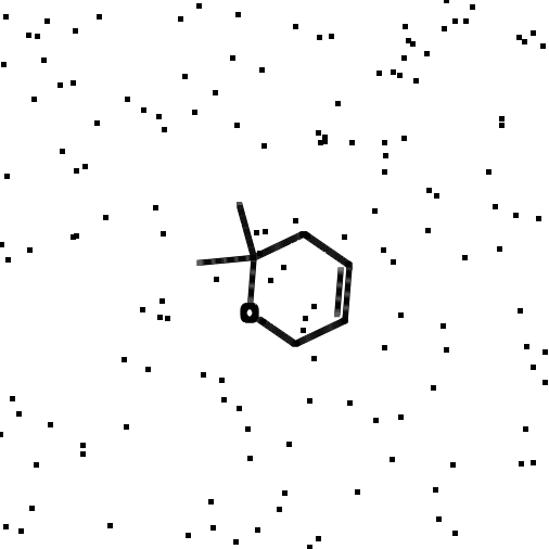 CC1(C)CC=CCO1